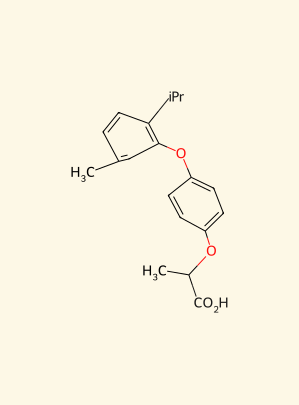 Cc1ccc(C(C)C)c(Oc2ccc(OC(C)C(=O)O)cc2)c1